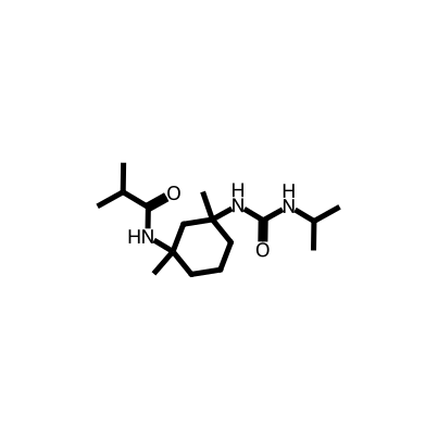 CC(C)NC(=O)NC1(C)CCCC(C)(NC(=O)C(C)C)C1